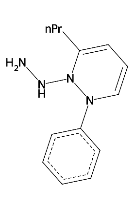 CCCC1=CC=CN(c2ccccc2)N1NN